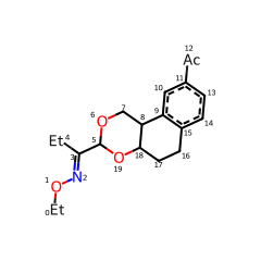 CCON=C(CC)C1OCC2c3cc(C(C)=O)ccc3CCC2O1